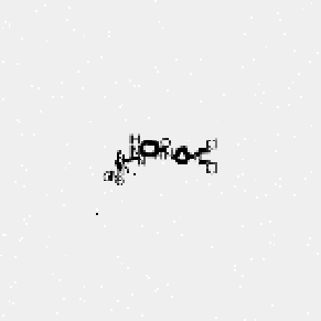 Cn1cc([N+](=O)[O-])nc1-c1nc2cc(C(=O)Nc3ccc(N(CCCl)CCCl)cc3)ccc2[nH]1